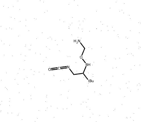 CC(C)(C)C(BOCN)CN=C=O